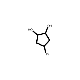 CC(C)C1CC(O)C(O)C1